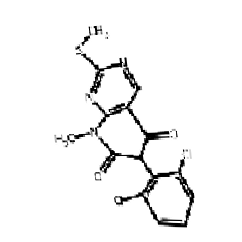 CSc1ncc2c(n1)N(C)C(=O)C(c1c(Cl)cccc1Cl)C2=O